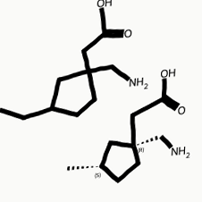 CCC1CCC(CN)(CC(=O)O)C1.C[C@H]1CC[C@](CN)(CC(=O)O)C1